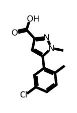 Cc1ccc(Cl)cc1-c1cc(C(=O)O)nn1C